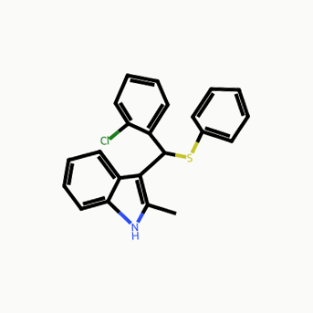 Cc1[nH]c2ccccc2c1C(Sc1ccccc1)c1ccccc1Cl